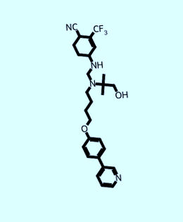 CC(C)(CO)N(CCCCOc1ccc(-c2cccnc2)cc1)CNC1C=C(C(F)(F)F)C(C#N)CC1